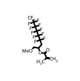 C=C(C)C(=O)OC(COC)CC(F)(F)C(F)(F)C(F)(F)C(F)(F)C(F)(F)C(F)(F)F